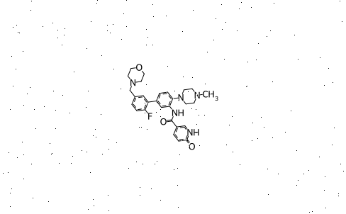 CN1CCN(c2ccc(-c3cc(CN4CCOCC4)ccc3F)cc2NC(=O)c2ccc(=O)[nH]c2)CC1